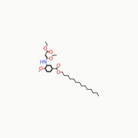 CCCCCCCCCCCCCCOC(=O)c1ccc(OC)c(N/C(=C/C(=O)OCC)OCC)c1